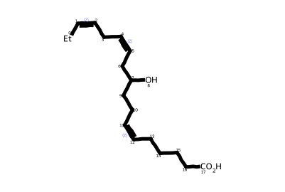 CC/C=C\C/C=C\CC(O)CC/C=C\CCCCC(=O)O